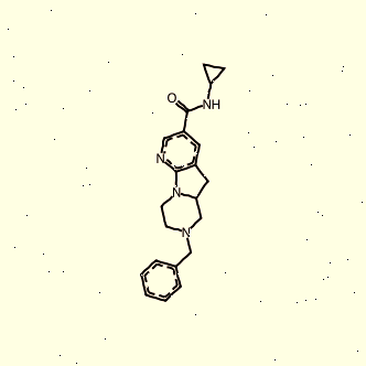 O=C(NC1CC1)c1cnc2c(c1)CC1CN(Cc3ccccc3)CCN21